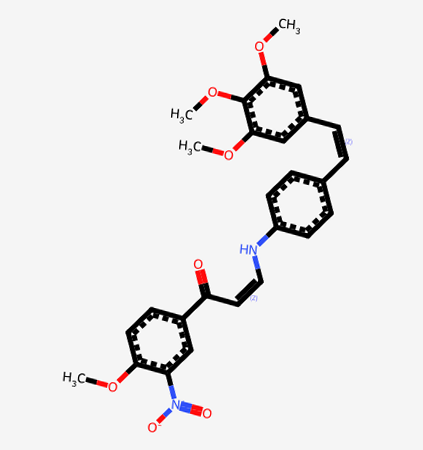 COc1ccc(C(=O)/C=C\Nc2ccc(/C=C\c3cc(OC)c(OC)c(OC)c3)cc2)cc1[N+](=O)[O-]